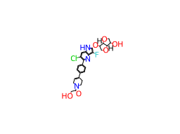 O=C(CO)N1CC=C(c2ccc(-c3nc4c(F)c(O[C@@H]5CO[C@H]6[C@@H]5OC[C@H]6O)[nH]c4cc3Cl)cc2)CC1